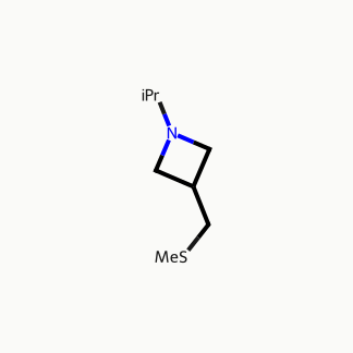 CSCC1CN(C(C)C)C1